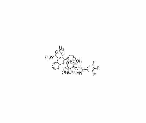 COc1c([C@H]2CCO[C@]23O[C@H](CO)[C@H](O)[C@H](n2cc(-c4cc(F)c(F)c(F)c4)nn2)[C@H]3O)cc2ccccc2c1C(N)=O